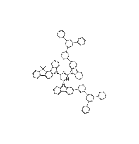 CC1(C)c2ccccc2-c2ccc3c(c21)c1ccccc1n3C1=IC(n2c3ccccc3c3ccc(-c4cccc(-c5cc(-c6ccccc6)cc(-c6ccccc6)c5)c4)cc32)=NC(n2c3ccccc3c3ccc(-c4cccc(-c5cc(-c6ccccc6)cc(-c6ccccc6)c5)c4)cc32)=N1